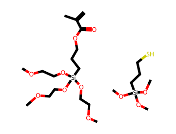 C=C(C)C(=O)OCCC[Si](OCCOC)(OCCOC)OCCOC.CO[Si](CCCS)(OC)OC